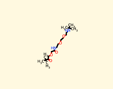 CC(C)(C)NCCOCCOCCNC(=O)COCC(=O)C(C)(C)C